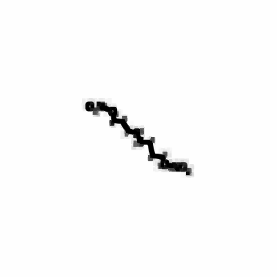 O=[N+]([O-])OCCCSSCCCO[N+](=O)[O-]